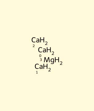 [CaH2].[CaH2].[CaH2].[MgH2]